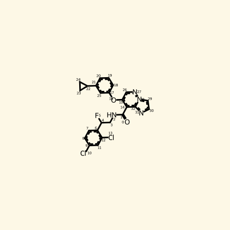 O=C(NCC(F)c1ccc(Cl)cc1Cl)c1c(Oc2cccc(C3CC3)c2)cnn2ccnc12